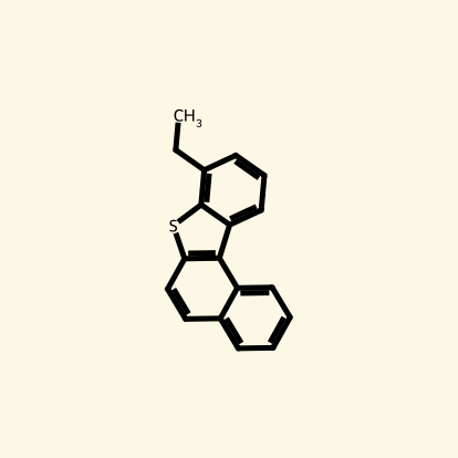 CCc1cccc2c1sc1ccc3ccccc3c12